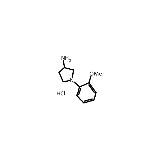 COc1ccccc1N1CCC(N)C1.Cl